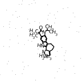 C/N=C1\C(=C/N)CCCc2c1[nH]c1cc3c(cc21)N(C(C)C)C(=O)C3(C)C